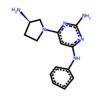 Nc1nc(Nc2ccccc2)cc(N2CC[C@@H](N)C2)n1